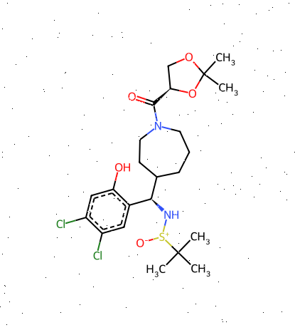 CC1(C)OC[C@H](C(=O)N2CCCC([C@@H](N[S+]([O-])C(C)(C)C)c3cc(Cl)c(Cl)cc3O)CC2)O1